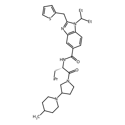 CCC(CC)n1c(Cc2cccs2)nc2cc(C(=O)N[C@@H](CC(C)C)C(=O)N3CCC(N4CCC(C)CC4)C3)ccc21